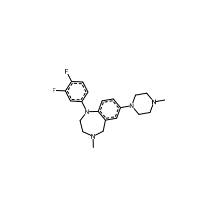 CN1CCN(c2ccc3c(c2)CN(C)CCN3c2ccc(F)c(F)c2)CC1